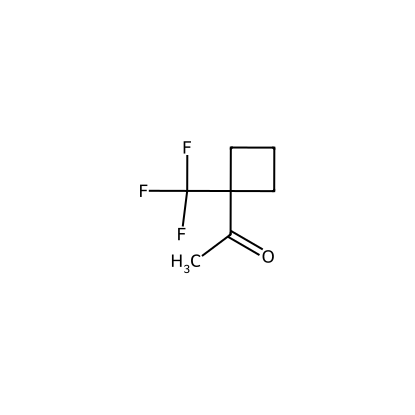 CC(=O)C1(C(F)(F)F)CCC1